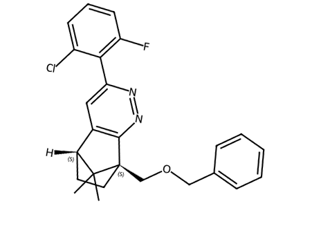 CC1(C)[C@@H]2CC[C@@]1(COCc1ccccc1)c1nnc(-c3c(F)cccc3Cl)cc12